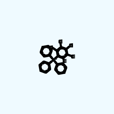 Clc1c(Cl)c(Cl)[c]([Al-]([c]2ccccc2)([c]2ccccc2)[c]2ccccc2)c(Cl)c1Cl